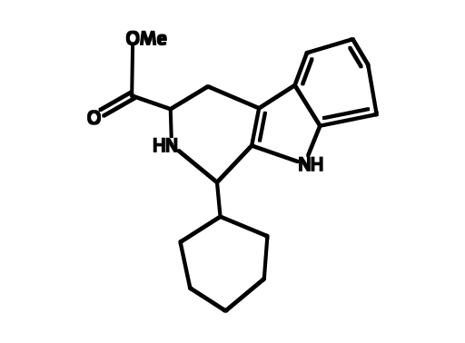 COC(=O)C1Cc2c([nH]c3ccccc23)C(C2CCCCC2)N1